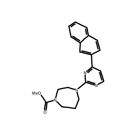 COC(=O)N1CCCN(c2nccc(-c3ccc4ccccc4c3)n2)CC1